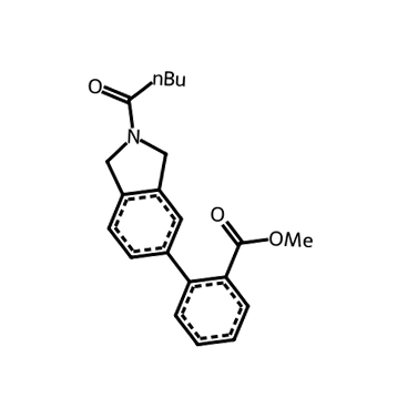 CCCCC(=O)N1Cc2ccc(-c3ccccc3C(=O)OC)cc2C1